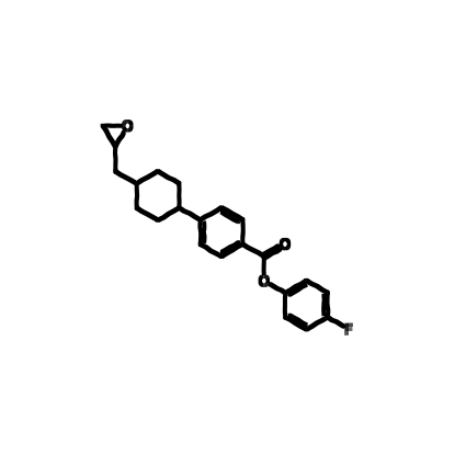 O=C(Oc1ccc(F)cc1)c1ccc(C2CCC(CC3CO3)CC2)cc1